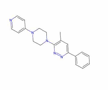 Cc1cc(-c2ccccc2)nnc1N1CCN(c2ccncc2)CC1